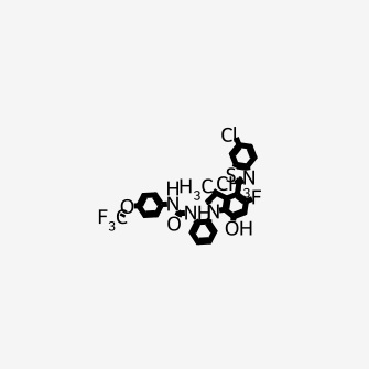 CC1(C)CN(c2ccccc2NC(=O)Nc2ccc(OC(F)(F)F)cc2)c2c(O)cc(F)c(-c3nc4ccc(Cl)cc4s3)c21